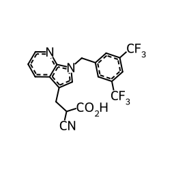 N#CC(Cc1cn(Cc2cc(C(F)(F)F)cc(C(F)(F)F)c2)c2ncccc12)C(=O)O